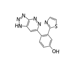 Oc1ccc(-c2cc3[nH]nnc3nn2)c(-c2nccs2)c1